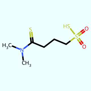 CN(C)C(=S)CCCS(=O)(=O)S